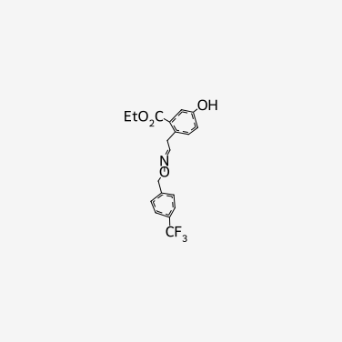 CCOC(=O)c1cc(O)ccc1CC=NOCc1ccc(C(F)(F)F)cc1